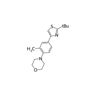 Cc1cc(-c2csc(C(C)(C)C)n2)ccc1N1CCOCC1